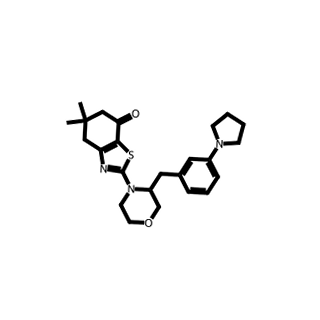 CC1(C)CC(=O)c2sc(N3CCOCC3Cc3cccc(N4CCCC4)c3)nc2C1